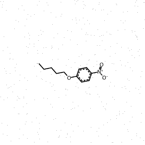 [CH2]CCCCOc1ccc([N+](=O)[O-])cc1